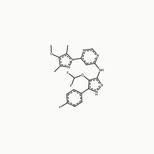 COc1c(C)nn(-c2cc(Nc3n[nH]c(-c4ccc(F)cc4)c3OC(F)F)ncn2)c1C